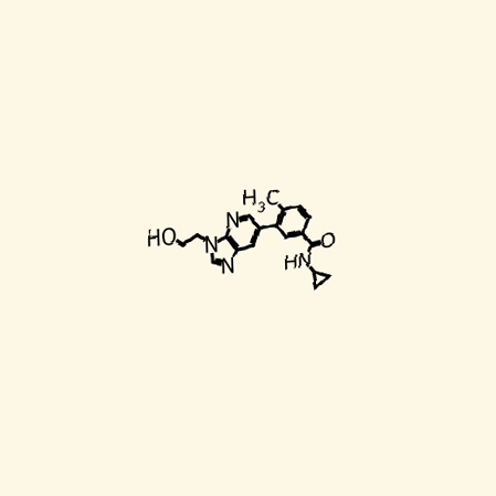 Cc1ccc(C(=O)NC2CC2)cc1-c1cnc2c(c1)ncn2CCO